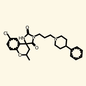 CC1CC2(NC(=O)N(CCCN3CCC(c4ccccc4)CC3)C2=O)c2cc(Cl)ccc2O1